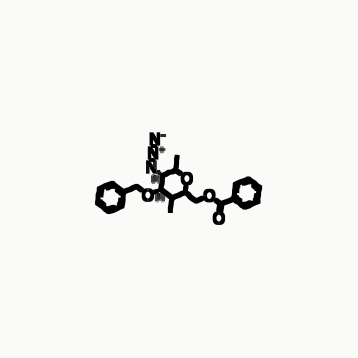 CC1OC(COC(=O)c2ccccc2)C(C)[C@@H](OCc2ccccc2)[C@@H]1N=[N+]=[N-]